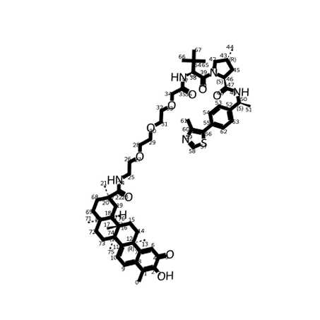 CC1=C(O)C(=O)C=C2C1=CC=C1[C@@]2(C)CC[C@@]2(C)[C@@H]3C[C@](C)(C(=O)NCCOCCOCCOCC(=O)N[C@H](C(=O)N4C[C@H](C)C[C@H]4C(=O)N[C@@H](C)c4ccc(-c5scnc5C)cc4)C(C)(C)C)CC[C@]3(C)CC[C@]12C